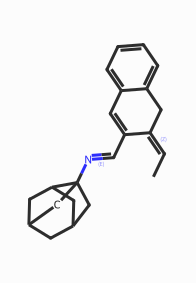 C/C=C1/Cc2ccccc2C=C1/C=N/C12CC3CC(CC1C3)C2